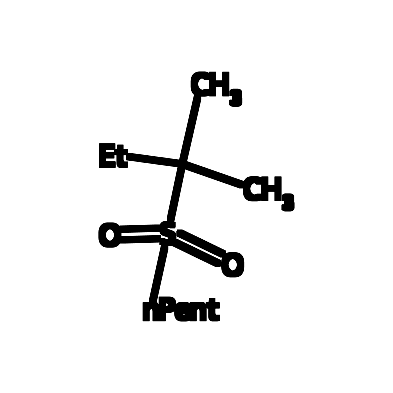 CCCCCS(=O)(=O)C(C)(C)CC